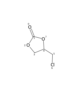 O=C1OCC(CCl)O1